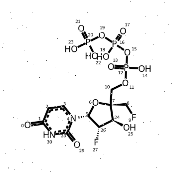 O=c1ccn([C@@H]2O[C@](CF)(COP(=O)(O)OP(=O)(O)OP(=O)(O)O)[C@@H](O)[C@@H]2F)c(=O)[nH]1